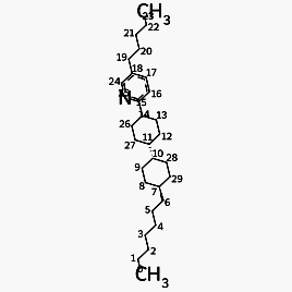 CCCCCCC[C@H]1CC[C@H](C2CCC(c3ccc(CCCCC)cn3)CC2)CC1